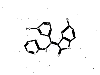 O=C1Nc2ccc(Br)cc2/C1=C(/Nc1cccnn1)c1cccc(O)c1